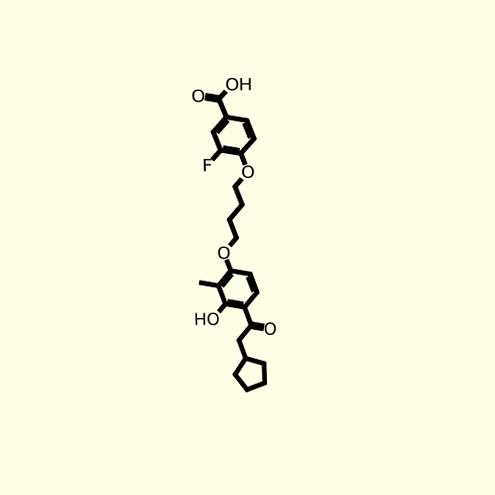 Cc1c(OCCCCOc2ccc(C(=O)O)cc2F)ccc(C(=O)CC2CCCC2)c1O